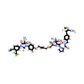 Cc1ncsc1-c1ccc(CNC(=O)[C@@H]2CCCN2C(=O)C(NC(=O)COCC#CCOc2ccc(N3C(=S)N(c4ccc(C#N)c(C(F)(F)F)c4)C(=O)C3(C)C)cc2F)C(C)(C)C)cc1